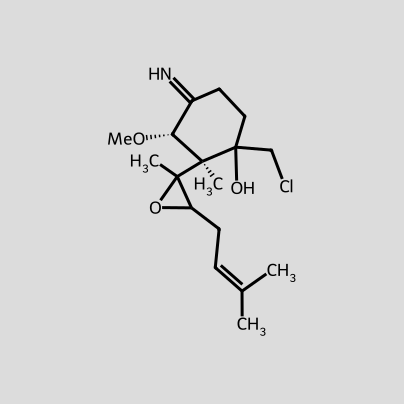 CO[C@@H]1C(=N)CCC(O)(CCl)[C@@]1(C)C1(C)OC1CC=C(C)C